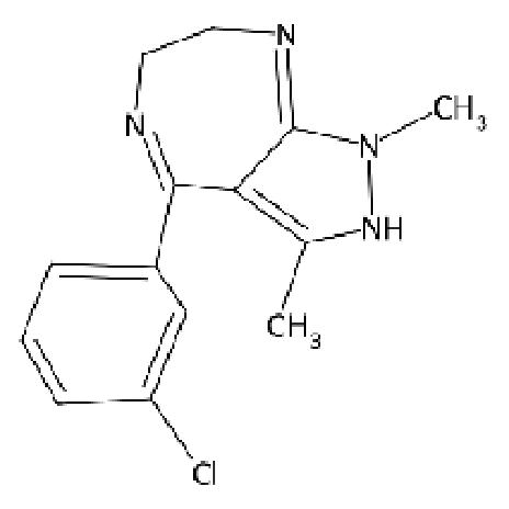 CC1=C2C(c3cccc(Cl)c3)=NCCN=C2N(C)N1